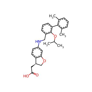 Cc1cccc(C)c1-c1cccc(CNc2ccc3c(c2)OC[C@H]3CC(=O)O)c1OC(C)C